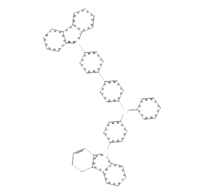 C1=Cc2c(c3ccccc3n2-c2ccc(N(c3ccccc3)c3ccc(-c4ccc(-n5c6ccccc6c6ccccc65)cc4)cc3)cc2)CC1